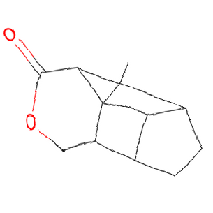 CC12C3COC(=O)C1C1CCC3C12